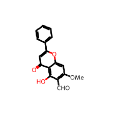 COc1cc2oc(-c3ccccc3)cc(=O)c2c(O)c1C=O